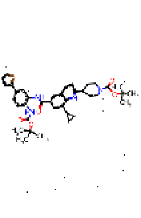 CC(C)(C)OC(=O)Nc1ccc(-c2cccs2)cc1NC(=O)c1cc(C2CC2)c2nc(C3CCN(C(=O)OC(C)(C)C)CC3)ccc2c1